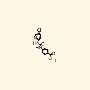 CC(=O)c1ccc(NC(=O)Nc2ccc(Cl)cn2)cc1